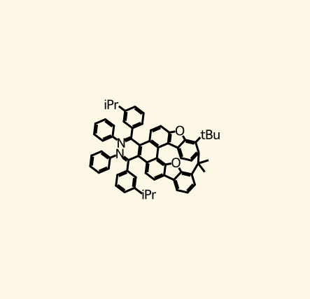 CC(C)c1cccc(/C(=N\c2ccccc2)c2c(/C(=N/c3ccccc3)c3cccc(C(C)C)c3)c3ccc4oc5c(C(C)(C)C)c6ccc5c4c3c3c2ccc2c4cccc(c4oc23)C6(C)C)c1